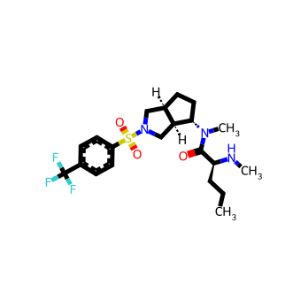 CCC[C@H](NC)C(=O)N(C)[C@H]1CC[C@@H]2CN(S(=O)(=O)c3ccc(C(F)(F)F)cc3)C[C@@H]21